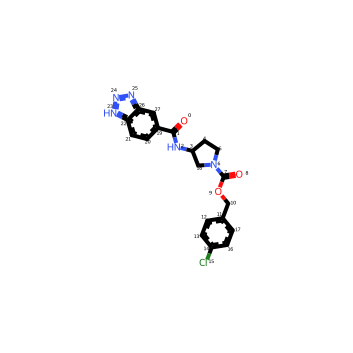 O=C(NC1CCN(C(=O)OCc2ccc(Cl)cc2)C1)c1ccc2[nH]nnc2c1